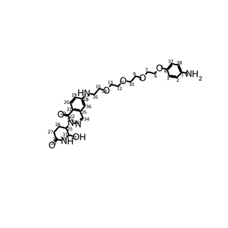 Nc1ccc(OCCOCCOCCOCCNc2ccc3c(=O)n(C4CCC(=O)NC4O)ncc3c2)cc1